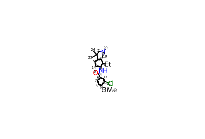 CCc1c(NC(=O)c2ccc(OC)c(Cl)c2)ccc2c1CN(C)CC2(C)C